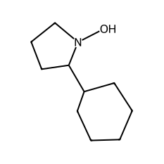 ON1CCCC1C1CCCCC1